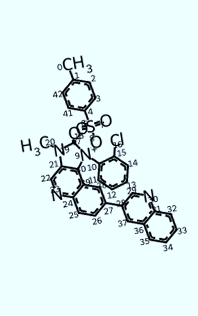 Cc1ccc(S(=O)(=O)O[N+]2(c3ccccc3Cl)C(=O)N(C)c3cnc4ccc(-c5cnc6ccccc6c5)cc4c32)cc1